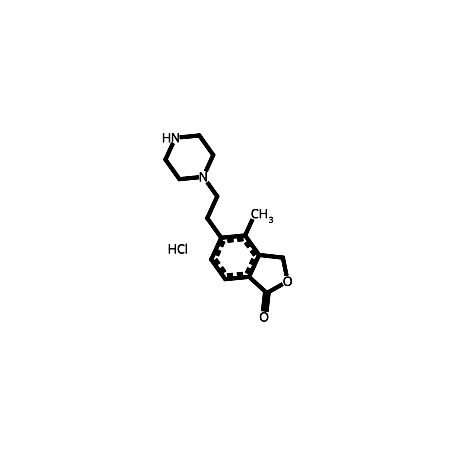 Cc1c(CCN2CCNCC2)ccc2c1COC2=O.Cl